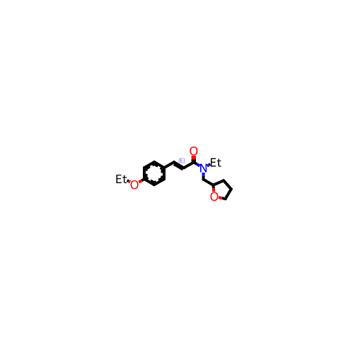 CCOc1ccc(/C=C/C(=O)N(CC)CC2CCCO2)cc1